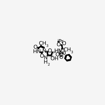 Cc1cn([C@@H]2O[C@H](CO[P@](=O)(N[C@@H](C)C(=O)OC(C)C)Oc3ccccc3)[C@@H](O)[C@H]2N)c(=O)[nH]c1=O